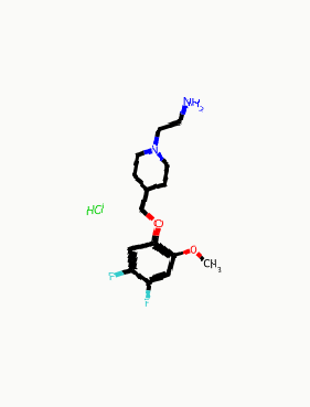 COc1cc(F)c(F)cc1OCC1CCN(CCN)CC1.Cl